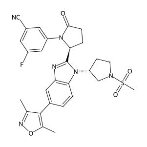 Cc1noc(C)c1-c1ccc2c(c1)nc([C@@H]1CCC(=O)N1c1cc(F)cc(C#N)c1)n2[C@@H]1CCN(S(C)(=O)=O)C1